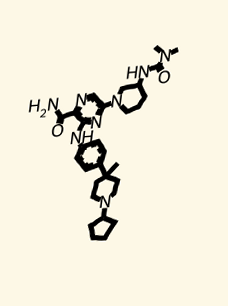 CN(C)C(=O)NC1CCCN(c2cnc(C(N)=O)c(Nc3ccc(C4(C)CCN(C5CCCC5)CC4)cc3)n2)C1